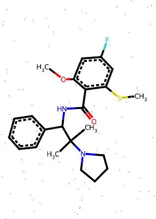 COc1cc(F)cc(SC)c1C(=O)NC(c1ccccc1)C(C)(C)N1CCCC1